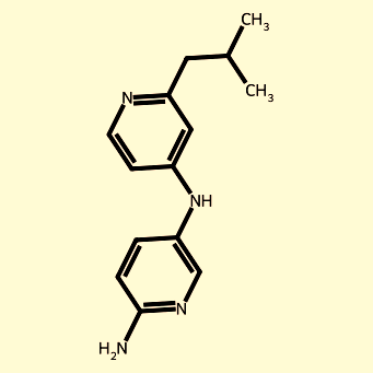 CC(C)Cc1cc(Nc2ccc(N)nc2)ccn1